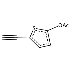 C#Cc1ccc(OC(C)=O)s1